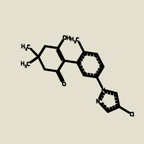 Cc1ccc(-n2cc(Cl)cn2)cc1C1=C(O)CC(C)(C)CC1=O